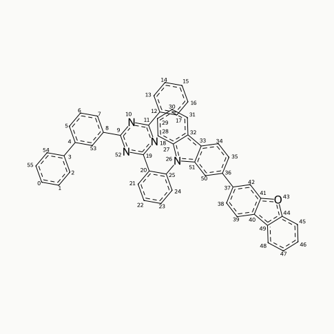 c1ccc(-c2cccc(-c3nc(-c4ccccc4)nc(-c4ccccc4-n4c5ccccc5c5ccc(-c6ccc7c(c6)oc6ccccc67)cc54)n3)c2)cc1